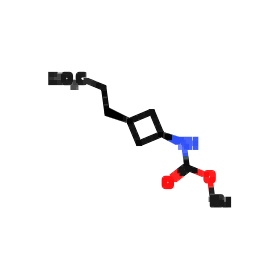 CCOC(=O)CC[C@H]1C[C@@H](NC(=O)OC(C)(C)C)C1